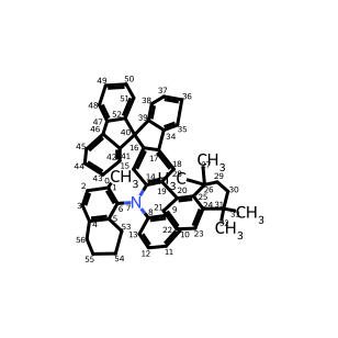 Cc1ccc2c(c1N(c1ccccc1)c1cc3c(cc1-c1cccc4c1C(C)(C)CCC4(C)C)-c1ccccc1C31c3ccccc3-c3ccccc31)CCCC2